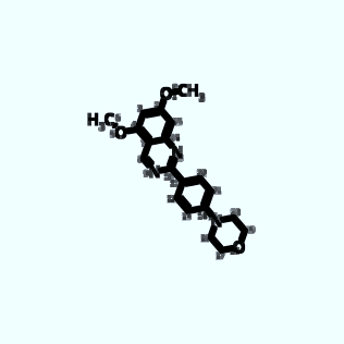 COc1cc(OC)c2cnc(-c3ccc(N4CCOCC4)cc3)nc2c1